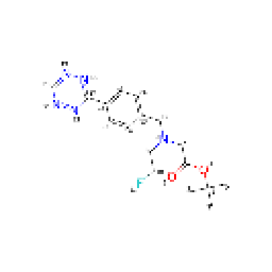 CC(C)(C)OC(=O)CN(CCF)Cc1ccc(-c2nncnn2)cc1